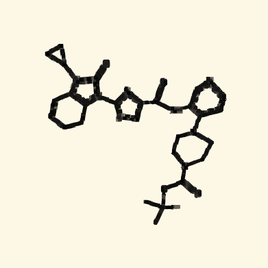 CC(C)(C)OC(=O)N1CCN(c2ccncc2NC(=O)c2csc(-n3c4c(n(C5CC5)c3=O)C=CCC4)n2)CC1